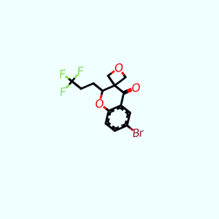 O=C1c2cc(Br)ccc2OC(CCC(F)(F)F)C12COC2